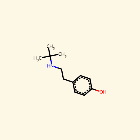 CC(C)(C)NCCc1ccc(O)cc1